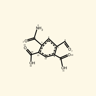 NC(=O)c1cc(C=O)c(C(=O)O)cc1C(=O)O